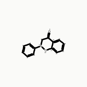 O=C1CN(c2ccccc2)Oc2ccccc21